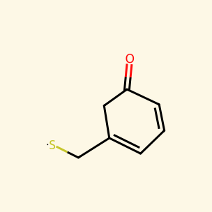 O=C1C=CC=C(C[S])C1